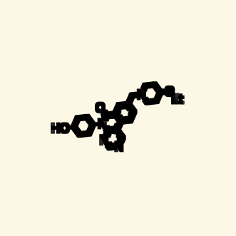 CCOC1CCN(Cc2ccc3c(c2)c(=O)n([C@H]2CC[C@@H](O)CC2)c2ncncc32)CC1